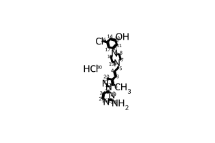 Cc1c(C=CCN2CCN(c3cc(O)cc(Cl)c3)CC2)cnn1-c1ccnc(N)n1.Cl